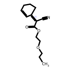 CCCOCCOC(=O)/C(C#N)=C1\C=CCCC1